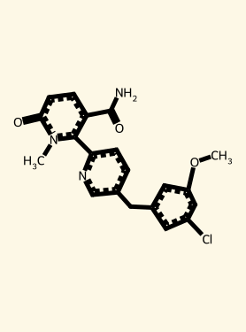 COc1cc(Cl)cc(Cc2ccc(-c3c(C(N)=O)ccc(=O)n3C)nc2)c1